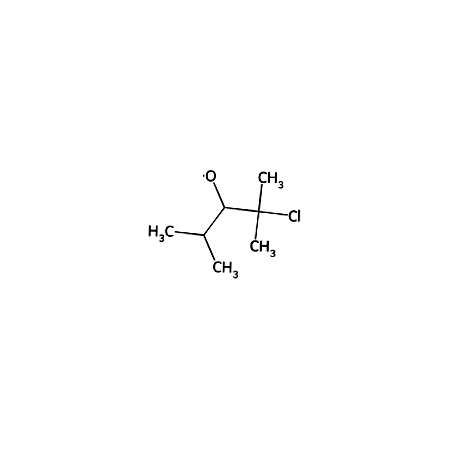 CC(C)C([O])C(C)(C)Cl